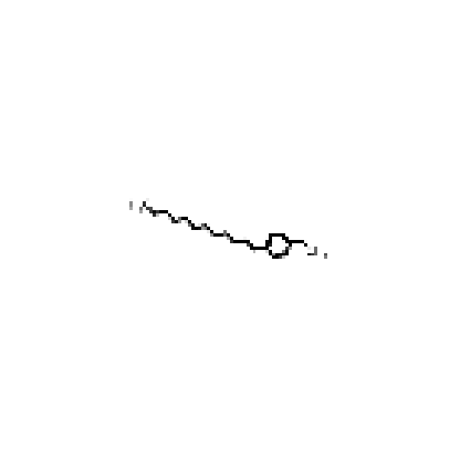 [CH2]Cc1ccc(CCCCCCCCCCCC)cc1